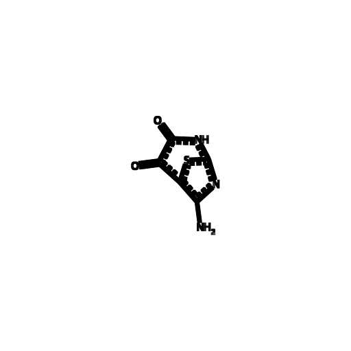 Nc1nc2[nH]c(=O)c(=O)c1s2